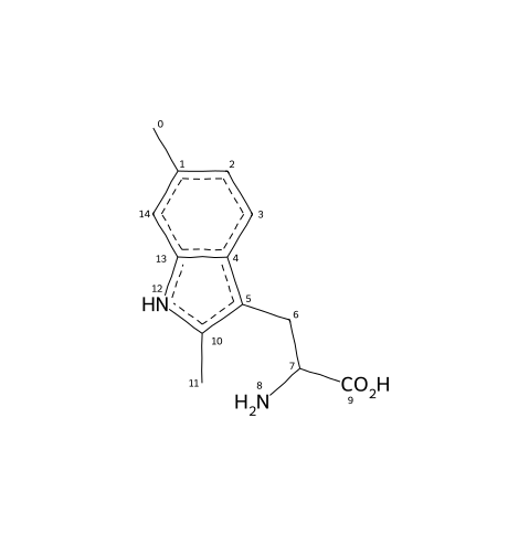 Cc1ccc2c(CC(N)C(=O)O)c(C)[nH]c2c1